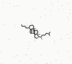 CCCCC1CCC[C@@]2(C)C1CCC1=C3CC[C@H]([C@H](C)CCCC(C)C)[C@@]3(C)CC[C@@H]12